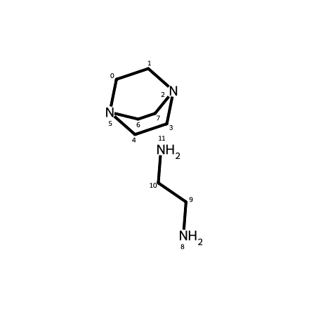 C1CN2CCN1CC2.NCCN